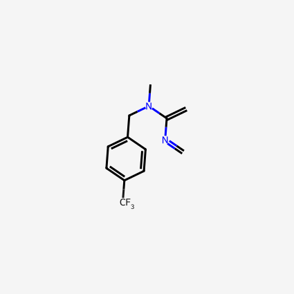 C=NC(=C)N(C)Cc1ccc(C(F)(F)F)cc1